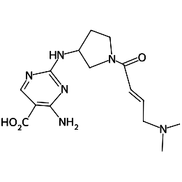 CN(C)CC=CC(=O)N1CCC(Nc2ncc(C(=O)O)c(N)n2)C1